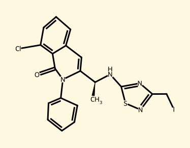 C[C@H](Nc1nc(CI)ns1)c1cc2cccc(Cl)c2c(=O)n1-c1ccccc1